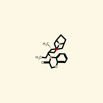 CCCCC1CC2CCC(C1)N2C[C@@H](C)CN1C(=O)COc2ccccc21